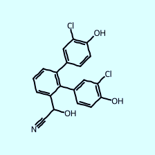 N#CC(O)c1cccc(-c2ccc(O)c(Cl)c2)c1-c1ccc(O)c(Cl)c1